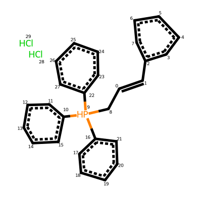 C(=Cc1ccccc1)C[PH](c1ccccc1)(c1ccccc1)c1ccccc1.Cl.Cl